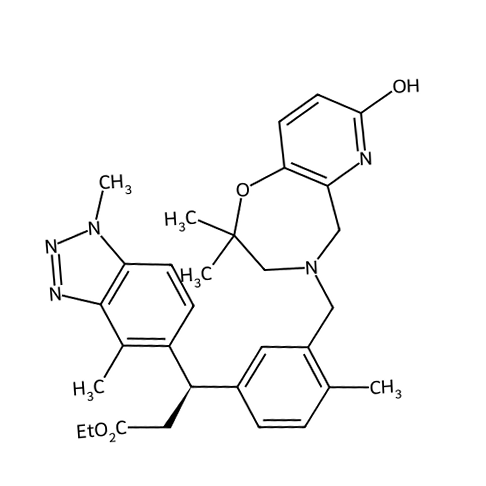 CCOC(=O)C[C@H](c1ccc(C)c(CN2Cc3nc(O)ccc3OC(C)(C)C2)c1)c1ccc2c(nnn2C)c1C